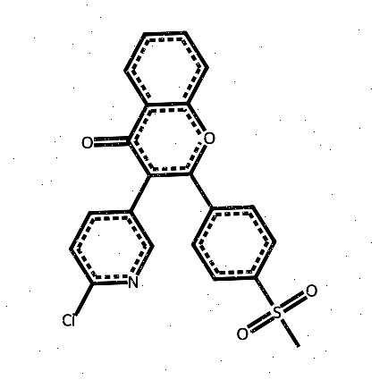 CS(=O)(=O)c1ccc(-c2oc3ccccc3c(=O)c2-c2ccc(Cl)nc2)cc1